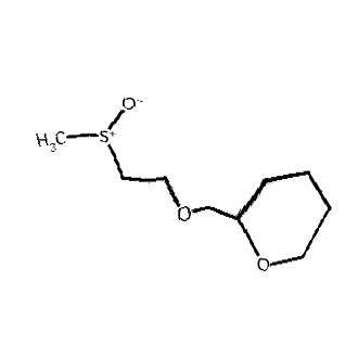 C[S+]([O-])CCOC1CCCCO1